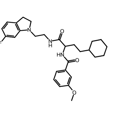 COc1cccc(C(=O)NC(CCC2CCCCC2)C(=O)NCCN2CCc3ccc(F)cc32)c1